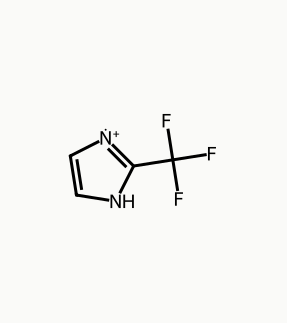 FC(F)(F)C1=[N+]C=CN1